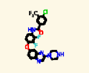 O=C(Nc1ccc(Oc2ccc3ncc(N4CCNCC4)nc3c2)c(F)c1F)c1ccc(Cl)c(C(F)(F)F)c1